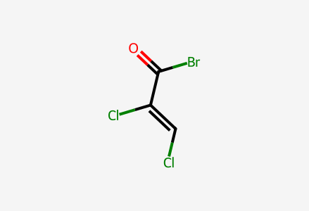 O=C(Br)C(Cl)=CCl